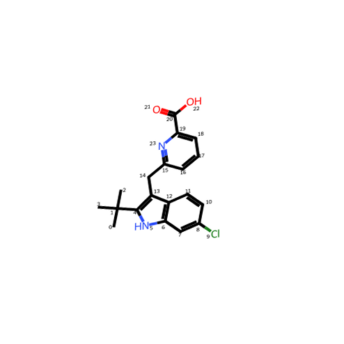 CC(C)(C)c1[nH]c2cc(Cl)ccc2c1Cc1cccc(C(=O)O)n1